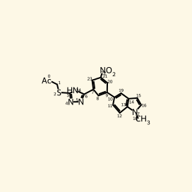 CC(=O)CSc1nnc(-c2cc(-c3ccc4c(ccn4C)c3)cc([N+](=O)[O-])c2)[nH]1